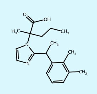 CCCC(C)(C(=O)O)n1ccnc1C(C)c1cccc(C)c1C